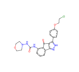 O=C(Nc1cccc2c1C(=O)c1c-2n[nH]c1-c1ccc(OCCCl)cc1)NN1CCOCC1